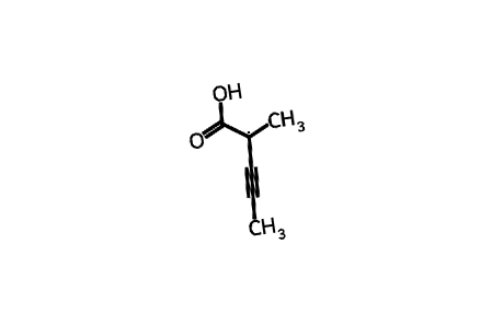 CC#C[C](C)C(=O)O